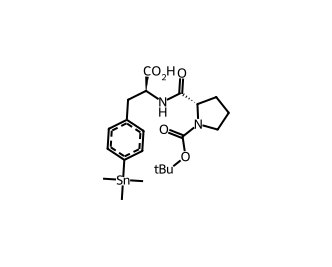 CC(C)(C)OC(=O)N1CCC[C@H]1C(=O)N[C@@H](Cc1cc[c]([Sn]([CH3])([CH3])[CH3])cc1)C(=O)O